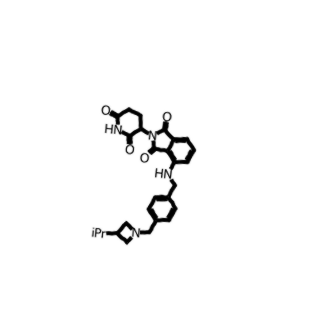 CC(C)C1CN(Cc2ccc(CNc3cccc4c3C(=O)N(C3CCC(=O)NC3=O)C4=O)cc2)C1